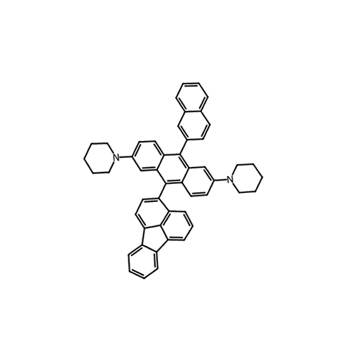 c1ccc2c(c1)-c1cccc3c(-c4c5ccc(N6CCCCC6)cc5c(-c5ccc6ccccc6c5)c5ccc(N6CCCCC6)cc45)ccc-2c13